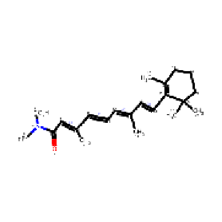 CCCN(C(=O)O)C(=O)/C=C(C)/C=C/C=C(C)/C=C/C1=C(C)CCCC1(C)C